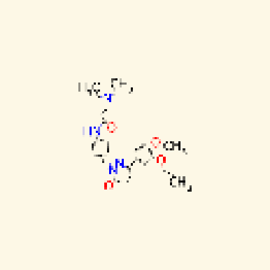 CCCOc1cc(C2=NN(Cc3ccc(NC(=O)CCN(CC)CC)cc3)C(=O)CC2)ccc1OC